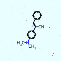 CN(C)c1ccc(/C(C#N)=C/c2ccccc2)cc1